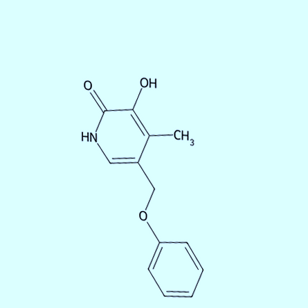 Cc1c(COc2ccccc2)c[nH]c(=O)c1O